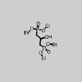 CCOP(=O)(CC(O)CP(=O)(OCC)OCC)OCC